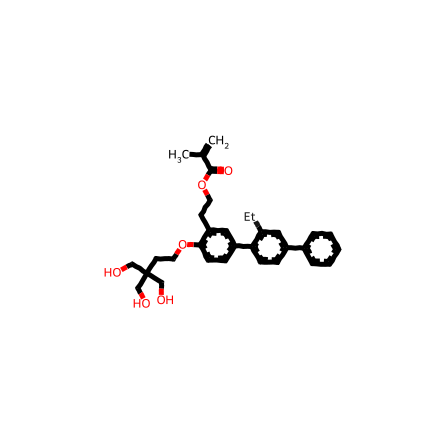 C=C(C)C(=O)OCCc1cc(-c2ccc(-c3ccccc3)cc2CC)ccc1OCCC(CO)(CO)CO